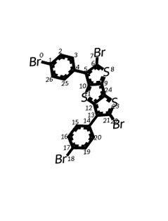 Brc1ccc(-c2c(Br)sc3c2sc2c(-c4ccc(Br)cc4)c(Br)sc23)cc1